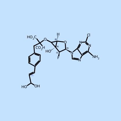 Nc1nc(Cl)nc2c1ncn2[C@@H]1O[C@@H]2C(OC(Cc3ccc(/C=C/C(O)O)cc3)(C(=O)O)C(=O)O)[C@]2(O)[C@@H]1F